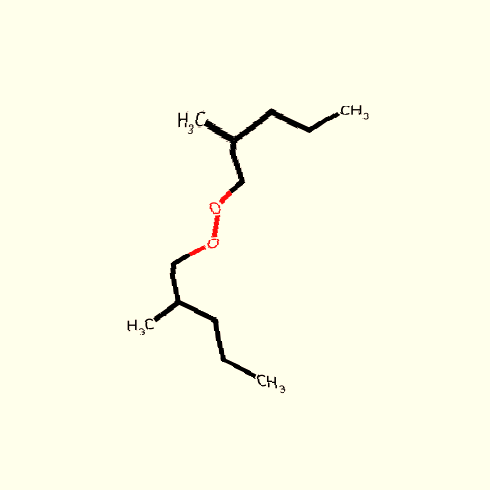 CCCC(C)COOCC(C)CCC